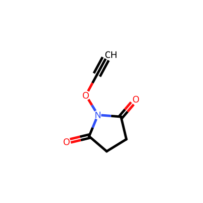 C#CON1C(=O)CCC1=O